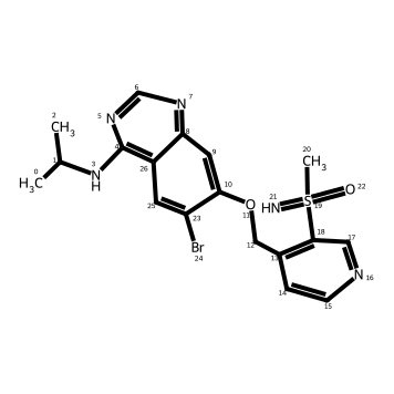 CC(C)Nc1ncnc2cc(OCc3ccncc3S(C)(=N)=O)c(Br)cc12